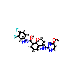 COc1ccnc(NC2CCOc3c(C(=O)Nc4ccc(F)c(F)c4)cccc32)n1